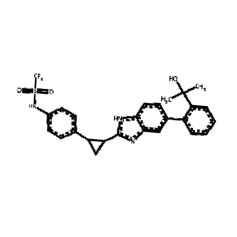 CC(C)(O)c1ccccc1-c1ccc2[nH]c(C3CC3c3ccc(NS(=O)(=O)C(F)(F)F)cc3)nc2c1